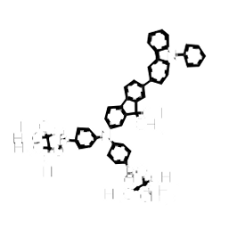 CC1(C)c2cc(-c3ccc4c(c3)c3ccccc3n4-c3ccccc3)ccc2-c2ccc(N(c3ccc(B4OC(C)(C)C(C)(C)O4)cc3)c3ccc(B4OC(C)(C)C(C)(C)O4)cc3)cc21